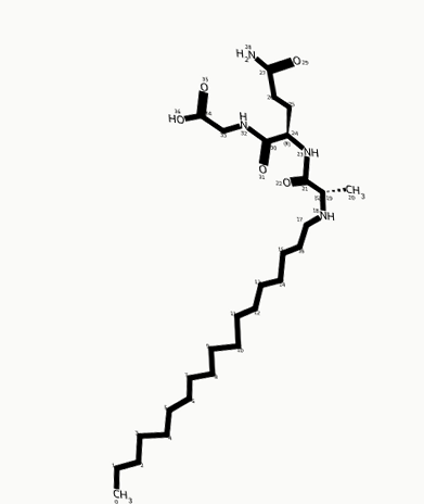 CCCCCCCCCCCCCCCCCCN[C@@H](C)C(=O)N[C@H](CCC(N)=O)C(=O)NCC(=O)O